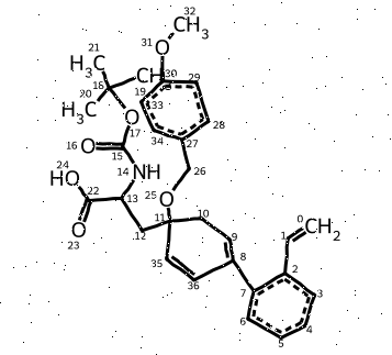 C=Cc1ccccc1C1=CCC(CC(NC(=O)OC(C)(C)C)C(=O)O)(OCc2ccc(OC)cc2)C=C1